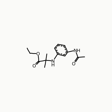 CCOC(=O)C(C)(C)Nc1cccc(NC(C)=O)c1